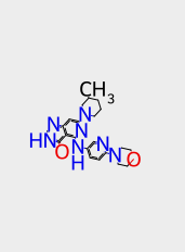 CC1CCCN(c2cc3nc[nH]c(=O)c3c(Nc3ccc(N4CCOCC4)nc3)n2)C1